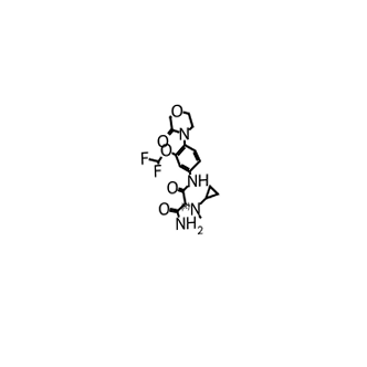 CN(C1CC1)[C@H](C(N)=O)C(=O)Nc1ccc(N2CCOCC2=O)c(OC(F)F)c1